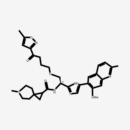 COc1cc2nc(C)ccc2cc1-c1cnc([C@H](COCCCC(=O)c2cc(C)on2)NC(=O)C2CC23CCN(C)CC3)[nH]1